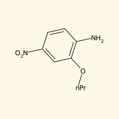 [CH2]CCOc1cc([N+](=O)[O-])ccc1N